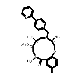 CO[C@H]1CN(C)C(=O)c2cc(I)ccc2OC[C@H](N)N(Cc2ccc(-c3ccccn3)cc2)C[C@@H]1C